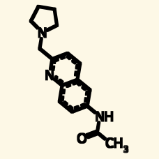 CC(=O)Nc1ccc2nc(CN3CCCC3)ccc2c1